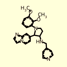 COc1cccc(N2CCC(NCc3ccncc3)C2c2ccn3ccnc3c2)c1OC